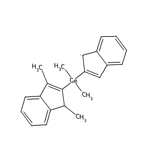 C[C]1[C]([Ge]([CH3])([CH3])[C]2=Cc3ccccc3[CH]2)=C(C)c2ccccc21